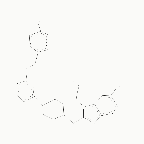 CC(=O)c1ccc(COc2cccc(C3CCN(Cc4nc5ccc(C(=O)O)cc5n4CCS)CC3)n2)cc1